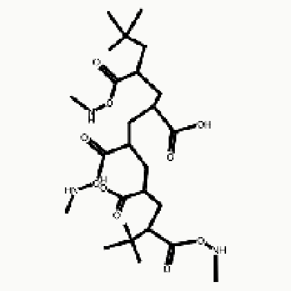 CNOC(=O)C(CC(CC(CC(C)(C)C)C(=O)ONC)C(=O)O)CC(CC(C(=O)ONC)C(C)(C)C)C(=O)O